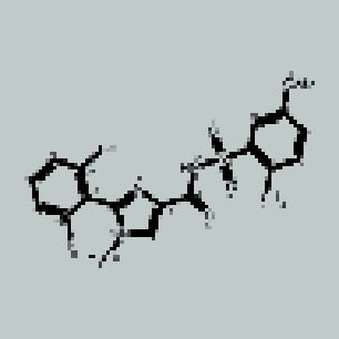 COc1ccc(C)c(S(=O)(=O)NC(=O)c2cn(C)c(-c3c(F)cccc3F)n2)c1